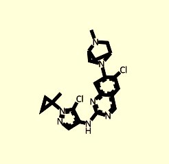 CN1CC2CC1CN2c1cc2nc(Nc3cnn(C4(C)CC4)c3Cl)ncc2cc1Cl